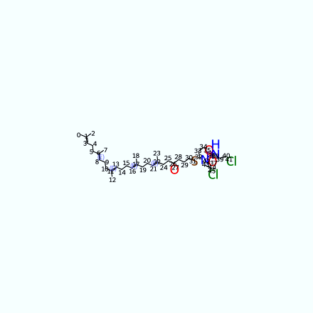 CC(C)=CCC/C(C)=C/CC/C(C)=C/CC/C=C(\C)CC/C=C(\C)CCC(=O)CCCSC1CCOP(=O)(NCCCl)N1CCCl